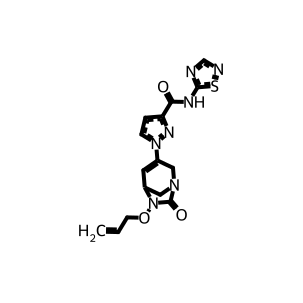 C=CCON1C(=O)N2CC(n3ccc(C(=O)Nc4ncns4)n3)=CC1C2